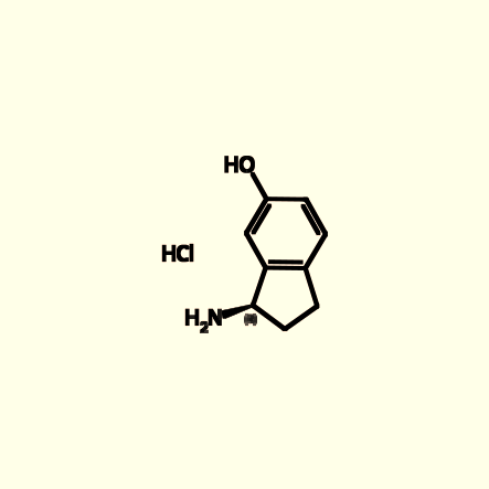 Cl.N[C@@H]1CCc2ccc(O)cc21